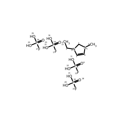 CCN1C=CN(C)C1.O=P(O)(O)F.O=P(O)(O)F.O=P(O)(O)F.O=P(O)(O)F